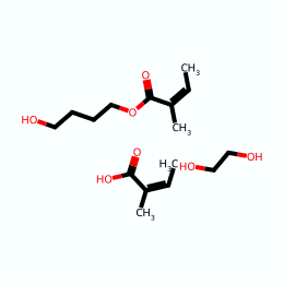 CC=C(C)C(=O)O.CC=C(C)C(=O)OCCCCO.OCCO